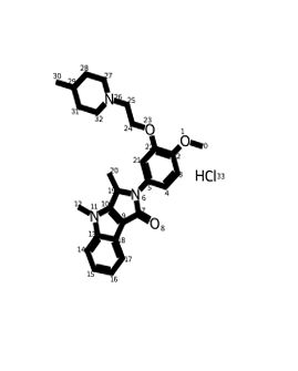 COc1ccc(N2C(=O)c3c(n(C)c4ccccc34)C2C)cc1OCCN1CCC(C)CC1.Cl